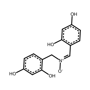 [O-]/[N+](=C/c1ccc(O)cc1O)Cc1ccc(O)cc1O